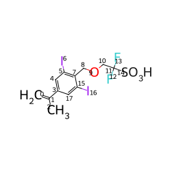 C=C(C)c1cc(I)c(COCC(F)(F)S(=O)(=O)O)c(I)c1